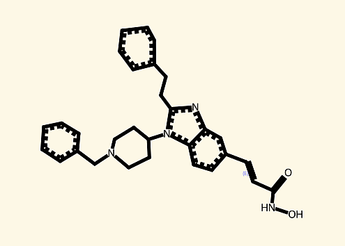 O=C(/C=C/c1ccc2c(c1)nc(CCc1ccccc1)n2C1CCN(Cc2ccccc2)CC1)NO